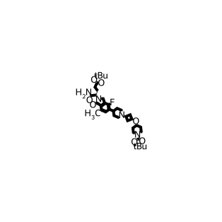 Cc1cc(C2CCN([C@H]3C[C@H](OC4CCN(C(=O)OC(C)(C)C)CC4)C3)CC2)c(F)c2c1C(=O)N([C@@H](CCC(=O)OC(C)(C)C)C(N)=O)C2